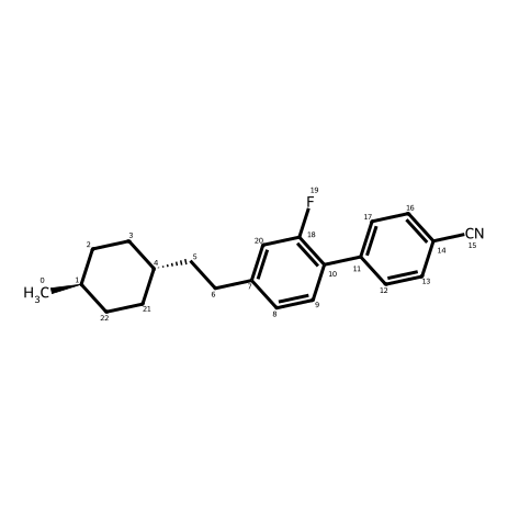 C[C@H]1CC[C@H](CCc2ccc(-c3ccc(C#N)cc3)c(F)c2)CC1